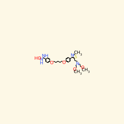 COCCN(CCOC)CCc1sc(C)nc1-c1ccc(OCCCCCOc2ccc(C(=N)NO)cc2)cc1